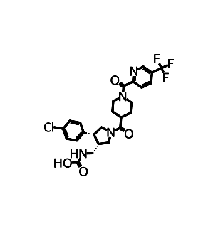 O=C(O)NC[C@H]1CN(C(=O)C2CCN(C(=O)c3ccc(C(F)(F)F)cn3)CC2)C[C@H]1c1ccc(Cl)cc1